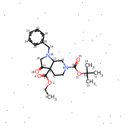 CCOC(=O)C12CCN(C(=O)OC(C)(C)C)CC1N(Cc1ccccc1)CC2=O